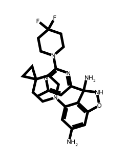 Cc1cc(C2(N)NOc3cc(N)cc(N4CCC5(CC4)CC5)c32)nc(N2CCC(F)(F)CC2)n1